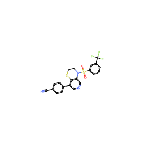 N#Cc1ccc(-c2cncc3c2SCCN3S(=O)(=O)c2cccc(C(F)(F)F)c2)cc1